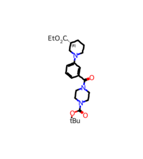 CCOC(=O)[C@@H]1CCCN(c2cccc(C(=O)N3CCN(C(=O)OC(C)(C)C)CC3)c2)C1